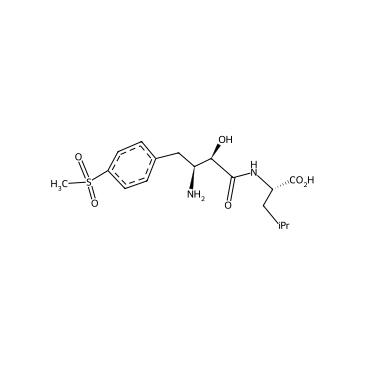 CC(C)C[C@H](NC(=O)[C@H](O)[C@@H](N)Cc1ccc(S(C)(=O)=O)cc1)C(=O)O